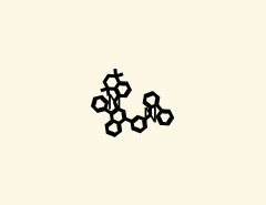 CC1(C)CCC(C)(C)c2c(-n3c4ccccc4c4c5ccccc5c(-c5cccc(-n6c7ccccc7c7ccccc76)c5)cc43)cccc21